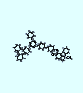 CC1(C)c2ccccc2-c2c1ccc1c2Oc2ccc(-c3ccc(-c4nc(-c5ccccc5)nc(-c5ccc6c7ccccc7c7ccccc7c6c5)n4)cc3)cc2O1